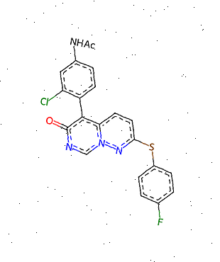 CC(=O)Nc1ccc(-c2c(=O)ncn3nc(Sc4ccc(F)cc4)ccc23)c(Cl)c1